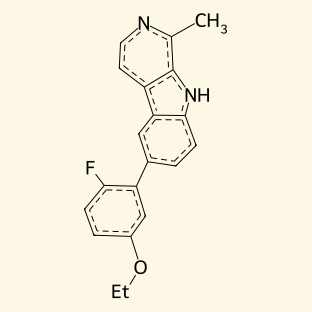 CCOc1ccc(F)c(-c2ccc3[nH]c4c(C)nccc4c3c2)c1